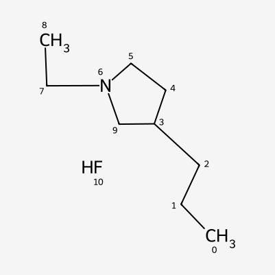 CCCC1CCN(CC)C1.F